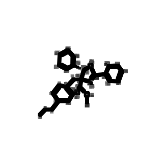 CCCc1ccc(C[C@]2(C(=O)OC)N=C(c3ccccc3)O[C@H]2c2ccccc2)cc1